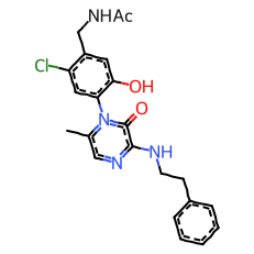 CC(=O)NCc1cc(O)c(-n2c(C)cnc(NCCc3ccccc3)c2=O)cc1Cl